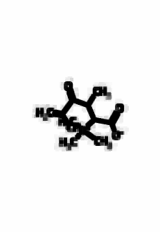 C=C(C)C(=O)C(C)C(C(=O)[O-])[N+](C)(C)C